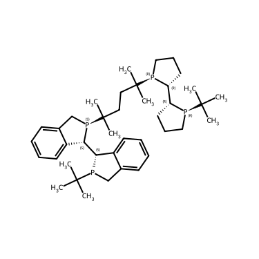 CC(C)(C)P1Cc2ccccc2[C@H]1[C@@H]1c2ccccc2C[P@@]1C(C)(C)CCC(C)(C)[P@@]1CCC[C@@H]1[C@H]1CCC[P@]1C(C)(C)C